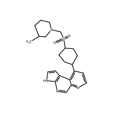 CC1CCCN(CS(=O)(=O)C2CCC(c3ccnc4cnc5[nH]ccc5c34)CC2)C1